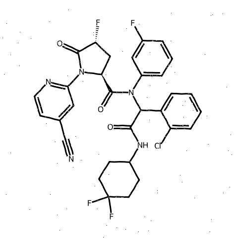 N#Cc1ccnc(N2C(=O)[C@H](F)C[C@H]2C(=O)N(c2cccc(F)c2)C(C(=O)NC2CCC(F)(F)CC2)c2ccccc2Cl)c1